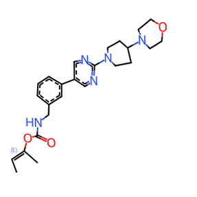 C/C=C(\C)OC(=O)NCc1cccc(-c2cnc(N3CCC(N4CCOCC4)CC3)nc2)c1